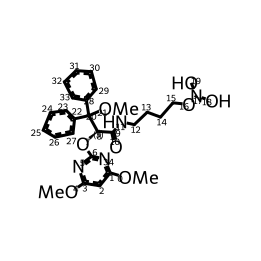 COc1cc(OC)nc(O[C@H](C(=O)NCCCCON(O)O)C(OC)(c2ccccc2)c2ccccc2)n1